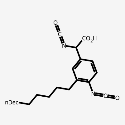 CCCCCCCCCCCCCCCc1cc(C(N=C=O)C(=O)O)ccc1N=C=O